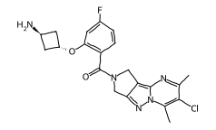 Cc1nc2c3c(nn2c(C)c1Cl)CN(C(=O)c1ccc(F)cc1O[C@H]1C[C@H](N)C1)C3